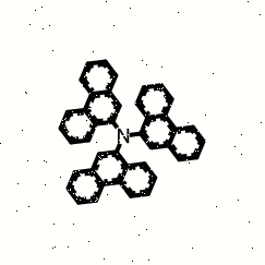 c1ccc2c(c1)cc(N(c1cc3ccccc3c3ccccc13)c1cc3ccccc3c3ccccc13)c1ccccc12